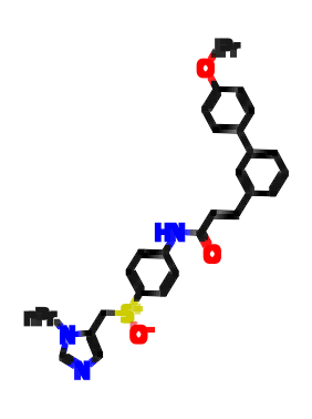 CCCn1cncc1C[S@@+]([O-])c1ccc(NC(=O)/C=C/c2cccc(-c3ccc(OC(C)C)cc3)c2)cc1